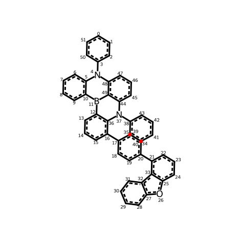 c1ccc(N2c3ccccc3B3c4cccc(-c5ccc(-c6cccc7oc8ccccc8c67)cc5)c4N(c4ccccc4)c4cccc2c43)cc1